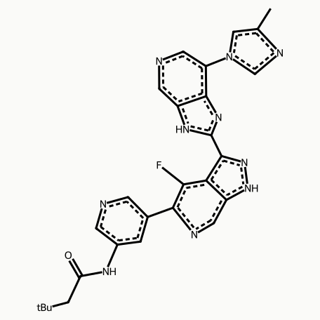 Cc1cn(-c2cncc3[nH]c(-c4n[nH]c5cnc(-c6cncc(NC(=O)CC(C)(C)C)c6)c(F)c45)nc23)cn1